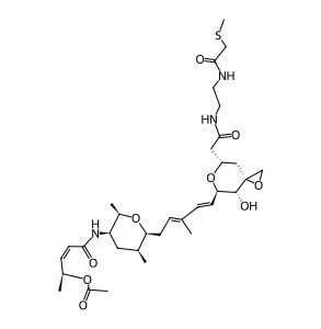 CSCC(=O)NCCNC(=O)C[C@@H]1C[C@@]2(CO2)[C@H](O)[C@@H](/C=C/C(C)=C/C[C@@H]2O[C@H](C)[C@H](NC(=O)/C=C\[C@H](C)OC(C)=O)C[C@@H]2C)O1